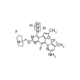 Cc1cc2c(o1)c(-c1nc(N)cc(C)c1C(F)(F)F)c(F)c1nc(OC[C@@]34CCCN3C[C@H](F)C4)nc(N3C[C@H]4CC[C@@H](C3)N4)c12